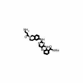 CNC(=O)c1ccccc1Nc1nc(Nc2ccc3c(c2)CCN(C(=O)CCN)C3)ncc1Br